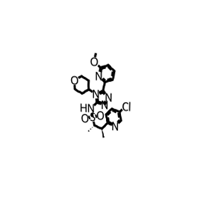 COc1cccc(-c2nnc(NS(=O)(=O)[C@@H](C)[C@H](C)c3ccc(Cl)cn3)n2C2CCOCC2)n1